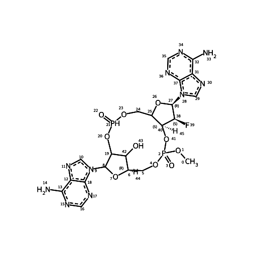 COP1(=O)OC[C@H]2OC(n3cnc4c(N)ncnc43)C(O[PH](=O)OCC3O[C@@H](n4cnc5c(N)ncnc54)[C@@H](F)[C@H]3O1)C2O